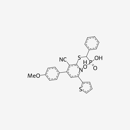 COc1ccc(-c2cc(-c3cccs3)nc(SC(c3ccccc3)P(=O)(O)O)c2C#N)cc1